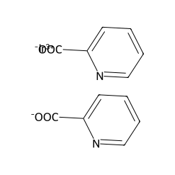 O=C([O-])c1ccccn1.O=C([O-])c1ccccn1.[Ir+3]